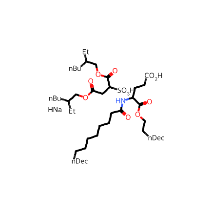 CCCCC(CC)COC(=O)CC(C(=O)OCC(CC)CCCC)S(=O)(=O)O.CCCCCCCCCCCCCCCCCC(=O)NC(CCC(=O)O)C(=O)OCCCCCCCCCCCC.[NaH]